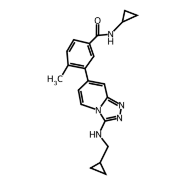 Cc1ccc(C(=O)NC2CC2)cc1-c1ccn2c(NCC3CC3)nnc2c1